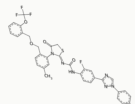 Cc1ccc(COCc2ccccc2OC(F)(F)F)c(N2C(=O)CSC2=NC(=O)Nc2ccc(-c3ncn(-c4ccc(C(F)(F)F)cc4)n3)cc2F)c1